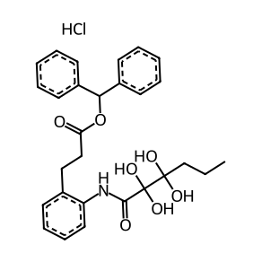 CCCC(O)(O)C(O)(O)C(=O)Nc1ccccc1CCC(=O)OC(c1ccccc1)c1ccccc1.Cl